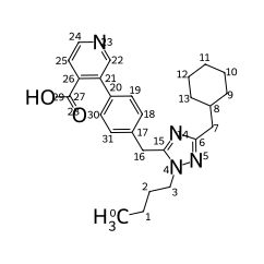 CCCCn1nc(CC2CCCCC2)nc1Cc1ccc(-c2cnccc2C(=O)O)cc1